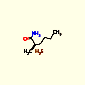 C=C(CCCC)C(N)=O.S